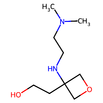 CN(C)CCNC1(CCO)COC1